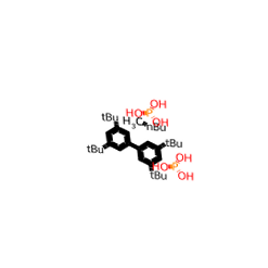 CC(C)(C)c1cc(-c2cc(C(C)(C)C)cc(C(C)(C)C)c2)cc(C(C)(C)C)c1.CCCCC.OP(O)O.OP(O)O